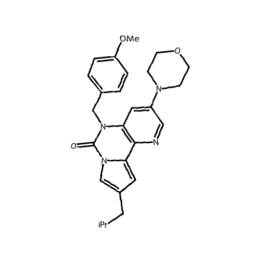 COc1ccc(Cn2c(=O)n3cc(CC(C)C)cc3c3ncc(N4CCOCC4)cc32)cc1